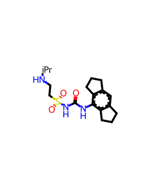 CC(C)NCCS(=O)(=O)NC(=O)Nc1c2c(cc3c1CCC3)CCC2